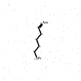 CCCCCCC[CH]=[Am]